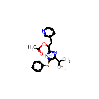 CC(=O)OC(Cc1cccnc1)c1nc(C(C)C)c(Sc2ccccc2)[nH]1